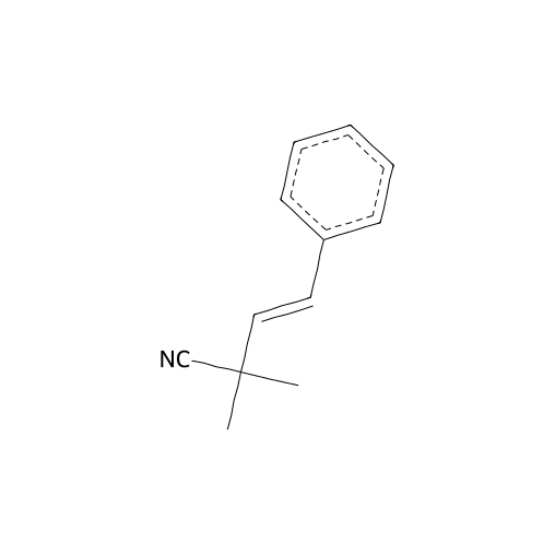 CC(C)(C#N)C=Cc1ccccc1